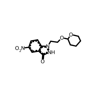 O=c1[nH]n(CCOC2CCCCO2)c2ccc([N+](=O)[O-])cc12